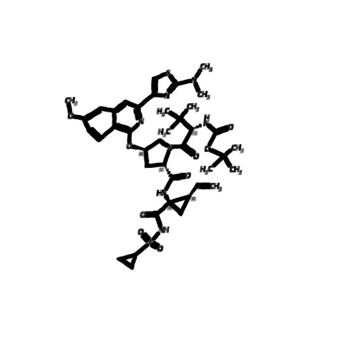 C=C[C@H]1C[C@]1(NC(=O)[C@@H]1C[C@@H](Oc2nc(-c3csc(N(C)C)n3)cc3cc(OC)ccc23)CN1C(=O)[C@@H](NC(=O)OC(C)(C)C)C(C)(C)C)C(=O)NS(=O)(=O)C1CC1